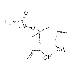 C=CC(O)C(C(O)C=C)C(C)(C)ONC(N)=O